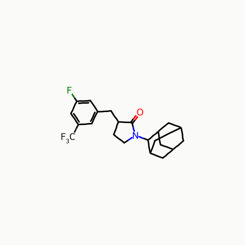 O=C1C(Cc2cc(F)cc(C(F)(F)F)c2)CCN1C1C2CC3CC(C2)CC1C3